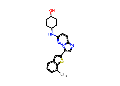 Cc1cccc2cc(-c3cnc4ccc(NC5CCC(O)CC5)nn34)sc12